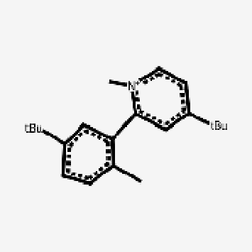 Cc1ccc(C(C)(C)C)cc1-c1cc(C(C)(C)C)cc[n+]1C